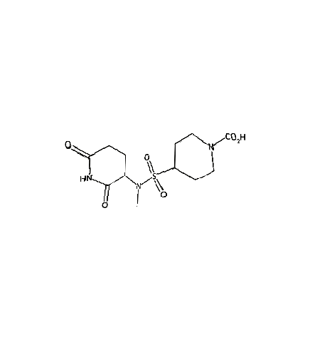 CN(C1CCC(=O)NC1=O)S(=O)(=O)C1CCN(C(=O)O)CC1